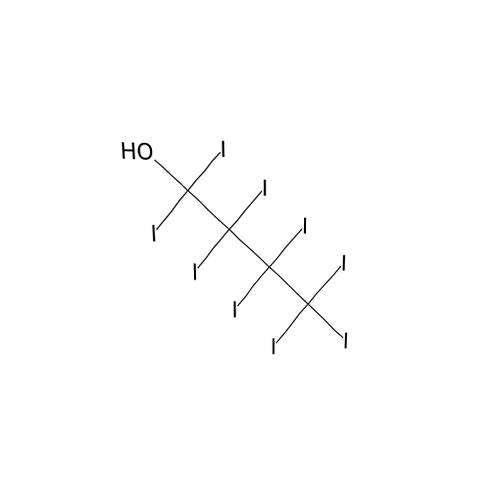 OC(I)(I)C(I)(I)C(I)(I)C(I)(I)I